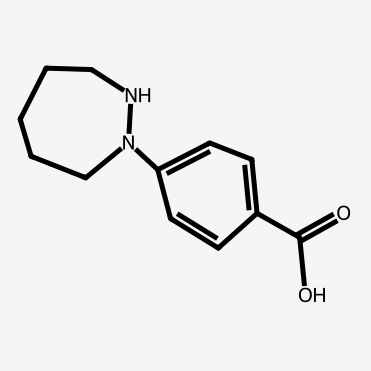 O=C(O)c1ccc(N2CCCCCN2)cc1